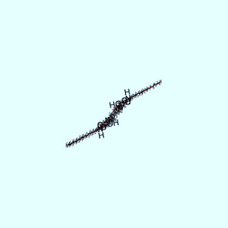 CCCCCCCCCCCCCCCCCCCCNC(=O)Oc1ccc(N=Nc2ccc(-c3ccc(N=Nc4ccc(OC(=O)NCCCCCCCCCCCCCCCCCCCC)cc4O)c(C)c3)cc2C)c(O)c1